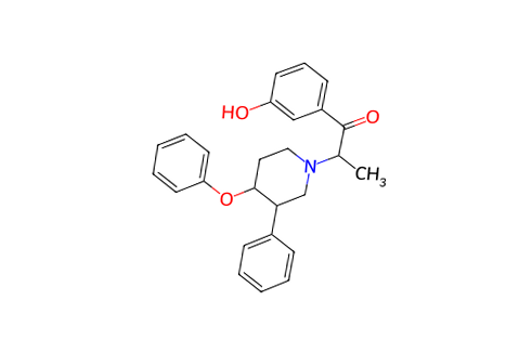 CC(C(=O)c1cccc(O)c1)N1CCC(Oc2ccccc2)C(c2ccccc2)C1